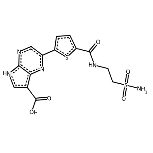 NS(=O)(=O)CCNC(=O)c1ccc(-c2cnc3[nH]cc(C(=O)O)c3n2)s1